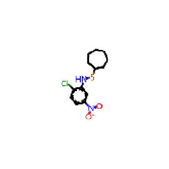 O=[N+]([O-])c1ccc(Cl)c(NSC2CCCCCC2)c1